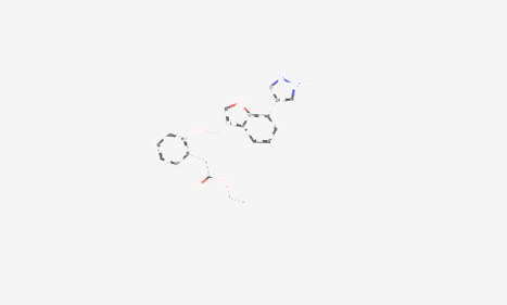 CCOC(=O)Cc1ccccc1OCc1coc2c(-c3cnn(C)c3)cc(Cl)cc12